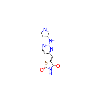 CN1CCC(N(C)c2nccc(/C=C3\SC(=O)NC3=O)n2)C1